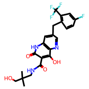 CC(C)(CO)CNC(=O)c1c(O)c2ncc(Cc3ccc(F)cc3C(F)(F)F)cc2[nH]c1=O